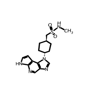 CNS(=O)(=O)C[C@H]1CC[C@H](n2cnc3cnc4[nH]ccc4c32)CC1